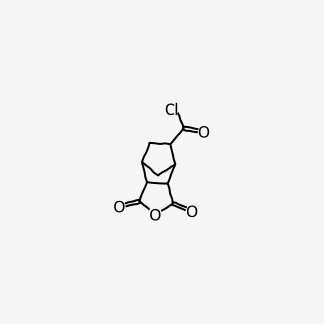 O=C(Cl)C1CC2CC1C1C(=O)OC(=O)C21